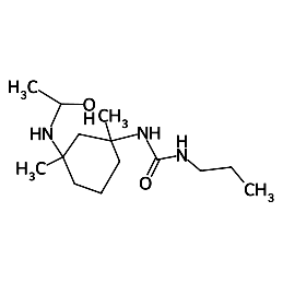 CCCNC(=O)NC1(C)CCCC(C)(NC(C)O)C1